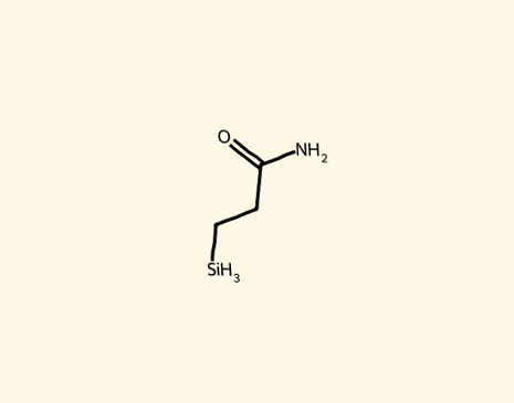 NC(=O)CC[SiH3]